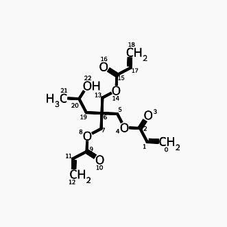 C=CC(=O)OCC(COC(=O)C=C)(COC(=O)C=C)CC(C)O